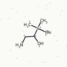 CC(C)(C)[Si](C)(C)C(O)CN